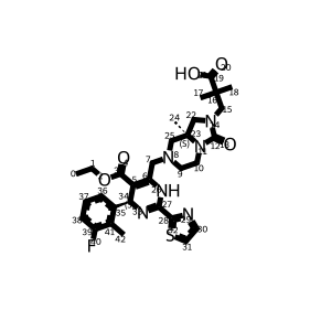 CCOC(=O)C1=C(CN2CCN3C(=O)N(CC(C)(C)C(=O)O)C[C@]3(C)C2)NC(c2nccs2)=N[C@H]1c1cccc(F)c1C